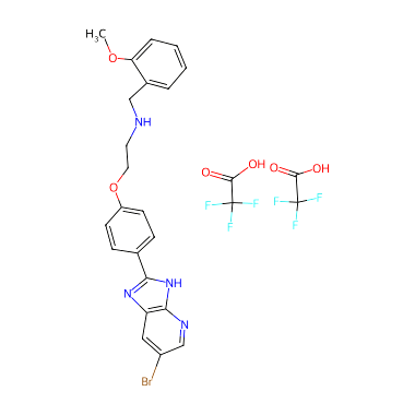 COc1ccccc1CNCCOc1ccc(-c2nc3cc(Br)cnc3[nH]2)cc1.O=C(O)C(F)(F)F.O=C(O)C(F)(F)F